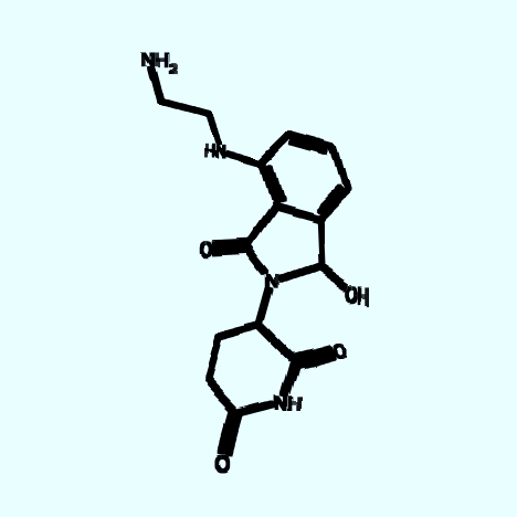 NCCNc1cccc2c1C(=O)N(C1CCC(=O)NC1=O)C2O